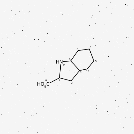 O=C(O)C1CC2CCCCC2N1